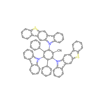 N#Cc1c(-n2c3ccccc3c3cc4sc5ccccc5c4cc32)c(-c2ccccc2)c(-n2c3ccccc3c3ccccc32)c(-c2ccccc2)c1-n1c2ccccc2c2cc3sc4ccccc4c3cc21